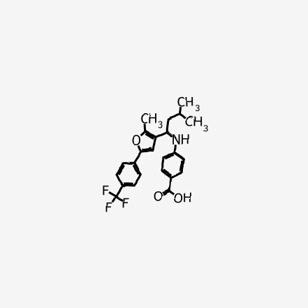 Cc1oc(-c2ccc(C(F)(F)F)cc2)cc1C(CC(C)C)Nc1ccc(C(=O)O)cc1